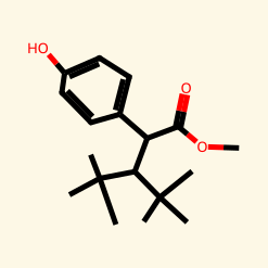 COC(=O)C(c1ccc(O)cc1)C(C(C)(C)C)C(C)(C)C